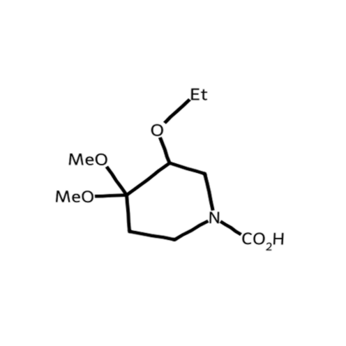 CCOC1CN(C(=O)O)CCC1(OC)OC